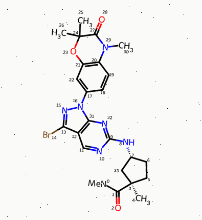 CNC(=O)[C@]1(C)CC[C@@H](Nc2ncc3c(Br)nn(-c4ccc5c(c4)OC(C)(C)C(=O)N5C)c3n2)C1